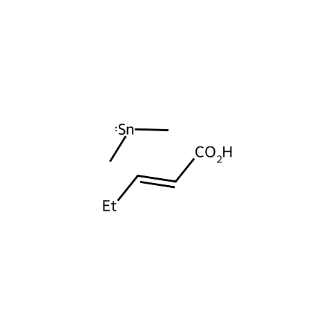 CC/C=C/C(=O)O.[CH3][Sn][CH3]